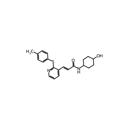 Cc1ccc(Sc2ncccc2/C=C/C(=O)NC2CCC(O)CC2)cc1